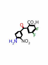 Nc1ccc(C(=O)c2cc(F)c(F)cc2C(=O)O)cc1[N+](=O)[O-]